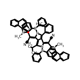 Cc1ccccc1-c1c2/c(=C(\C#N)c3nc4ccc5ccccc5c4n3C)n(B(c3ccccc3)c3ccccc3)c(C(C)C)c2/c(=C(\C#N)c2nc3ccc4ccccc4c3n2C)n1B(c1ccccc1)c1ccccc1